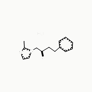 Cc1nccn1CC(=O)CCc1ccccc1.Cl